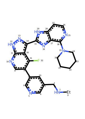 CCNCc1cncc(-c2cnc3[nH]nc(-c4nc5c(N6CCCCC6)nccc5[nH]4)c3c2F)c1